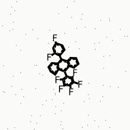 Fc1ccc(-c2c3ccccc3c(-c3c(F)c(F)c(F)c(F)c3F)c3ccccc23)c(F)c1